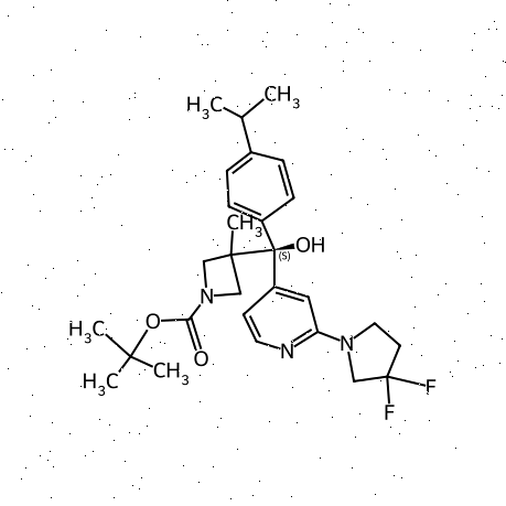 CC(C)c1ccc([C@](O)(c2ccnc(N3CCC(F)(F)C3)c2)C2(C)CN(C(=O)OC(C)(C)C)C2)cc1